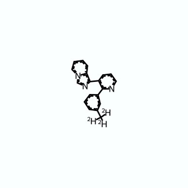 [2H]C([2H])([2H])c1cccc(-c2ncccc2-c2ncn3ccccc23)c1